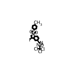 Cc1ccc(S(=O)(=O)n2cc(I)c3cc(-c4noc(C(Cl)(Cl)Cl)n4)ccc32)cc1